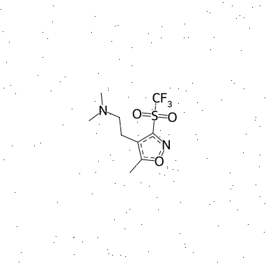 Cc1onc(S(=O)(=O)C(F)(F)F)c1CCN(C)C